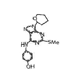 CSc1nc(Nc2ccc(O)cc2)c2ncn(C3CCCCO3)c2n1